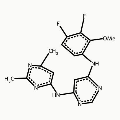 COc1c(Nc2cc(Nc3cc(C)nc(C)n3)ncn2)ccc(F)c1F